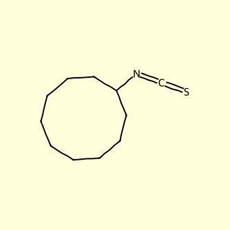 S=C=NC1CCCCCCCCC1